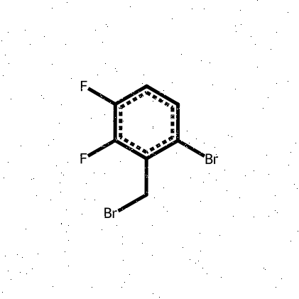 Fc1ccc(Br)c(CBr)c1F